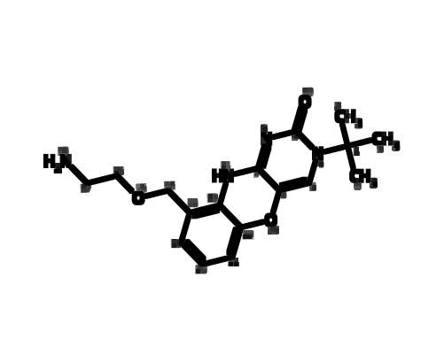 CC(C)(C)n1cc2c(nc1=O)Nc1c(COCCN)cccc1O2